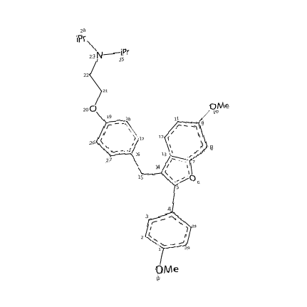 COc1ccc(-c2oc3cc(OC)ccc3c2Cc2ccc(OCCN(C(C)C)C(C)C)cc2)cc1